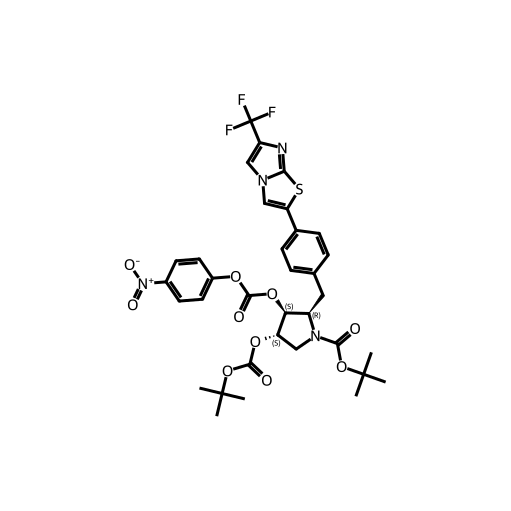 CC(C)(C)OC(=O)O[C@H]1CN(C(=O)OC(C)(C)C)[C@H](Cc2ccc(-c3cn4cc(C(F)(F)F)nc4s3)cc2)[C@@H]1OC(=O)Oc1ccc([N+](=O)[O-])cc1